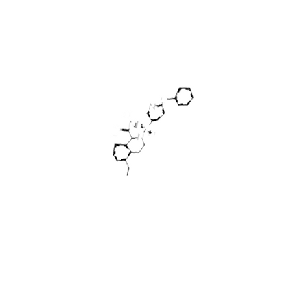 CCc1ccc(F)c2c1CCN(S(=O)(=O)c1ccc(Oc3ccccc3)nc1)C2C(=O)NO